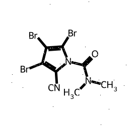 CN(C)C(=O)n1c(Br)c(Br)c(Br)c1C#N